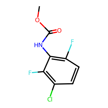 COC(=O)Nc1c(F)ccc(Cl)c1F